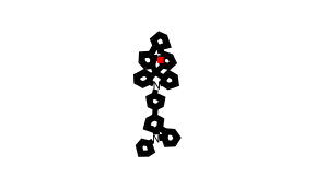 c1ccc(-n2c3ccccc3c3cc(-c4ccc(N5c6ccccc6C(c6ccccc6)(c6cccc7c6oc6ccccc67)c6ccccc65)cc4)ccc32)cc1